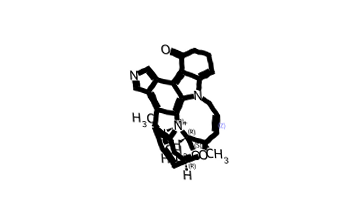 CO[C@@H]1[C@]2(C)/C=C\Cn3c4c(c5c6c(c7c(c53)[N@+]1(N(C)C)C1=C7C=C[C@@H](C1)O2)C=NC=6)C(=O)CCC=4